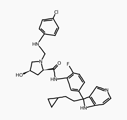 O=C(Nc1cc(C2(CCC3CC3)Nc3ccncc32)ccc1F)[C@H]1C[C@@H](O)CN1CNc1ccc(Cl)cc1